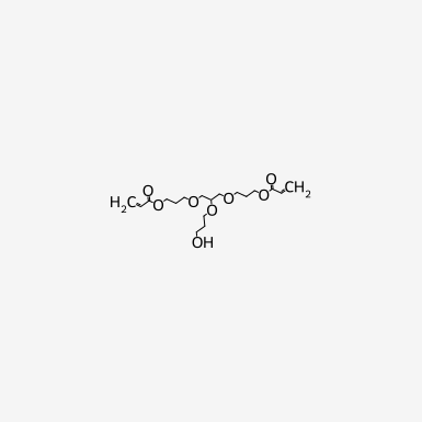 C=CC(=O)OCCCOCC(COCCCOC(=O)C=C)OCCCO